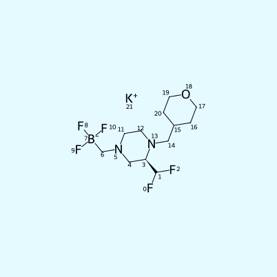 FC(F)[C@H]1CN(C[B-](F)(F)F)CCN1CC1CCOCC1.[K+]